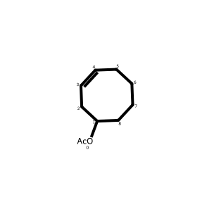 CC(=O)OC1CC=CCCCC1